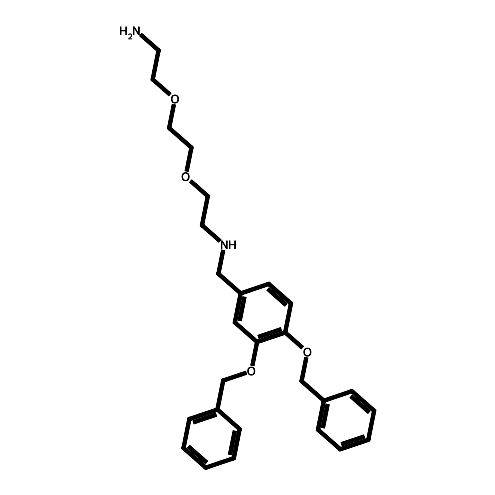 NCCOCCOCCNCc1ccc(OCc2ccccc2)c(OCc2ccccc2)c1